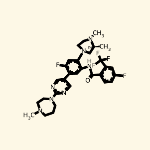 C[C@H]1CN(c2cc(F)c(-c3cnc(N4CCCN(C)CC4)nc3)cc2NC(=O)c2ccc(F)cc2C(F)(F)F)CCN1C